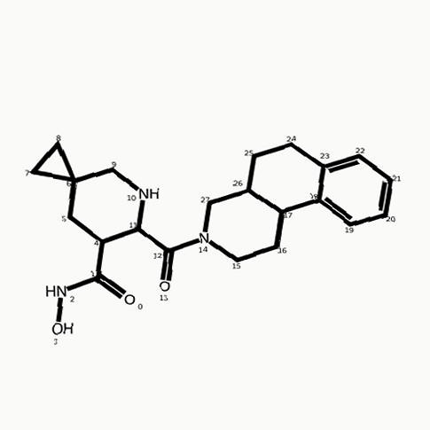 O=C(NO)C1CC2(CC2)CNC1C(=O)N1CCC2c3ccccc3CCC2C1